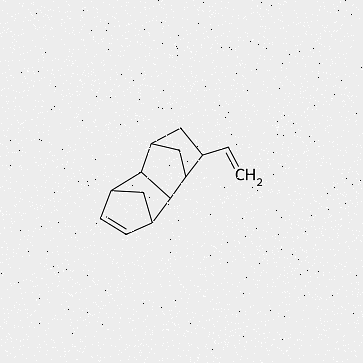 C=CC1CC2CC1C1C3C=CC(C3)C21